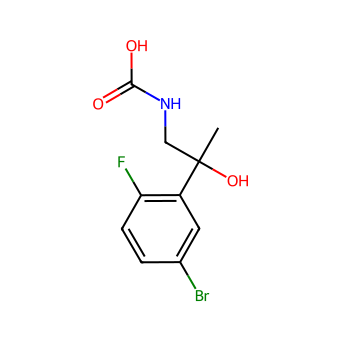 CC(O)(CNC(=O)O)c1cc(Br)ccc1F